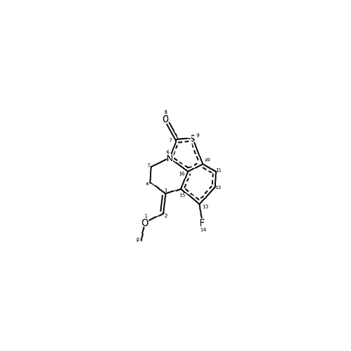 COC=C1CCn2c(=O)sc3ccc(F)c1c32